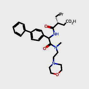 CC(C)C[C@H](CC(=O)O)C(=O)NC(C(=O)N(C)CCN1CCOCC1)c1ccc(-c2ccccc2)cc1